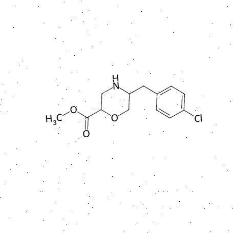 COC(=O)C1CNC(Cc2ccc(Cl)cc2)CO1